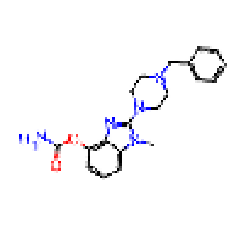 Cn1c(N2CCN(Cc3ccccc3)CC2)nc2c(OC(N)=O)cccc21